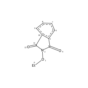 CCON1C(=O)c2ccccc2C1=O